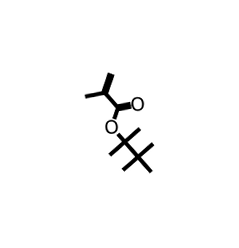 C=C(C)C(=O)OC(C)(C)C(C)(C)C